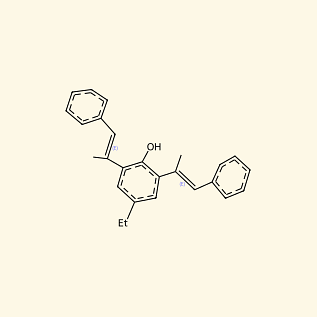 CCc1cc(/C(C)=C/c2ccccc2)c(O)c(/C(C)=C/c2ccccc2)c1